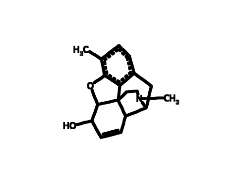 Cc1ccc2c3c1OC1C(O)C=CC4C(C2)N(C)CCC341